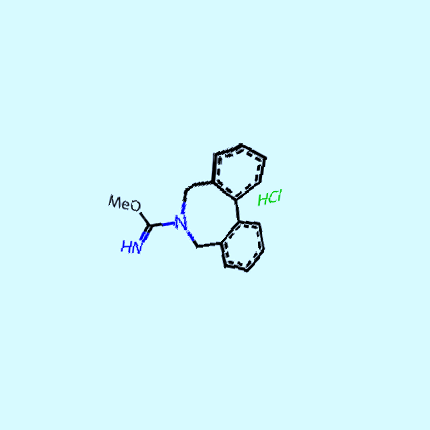 COC(=N)N1Cc2ccccc2-c2ccccc2C1.Cl